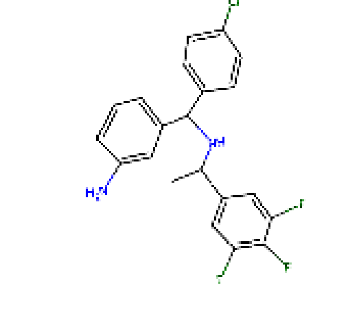 CC(NC(c1ccc(Cl)cc1)c1cccc(N)c1)c1cc(F)c(F)c(F)c1